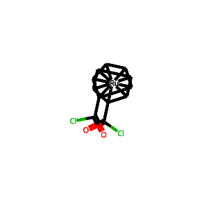 O=C(Cl)[C]12[CH]3[CH]4[CH]5[CH]1[Ru]45321678[CH]2[CH]1[CH]6[C]7(C(=O)Cl)[CH]28